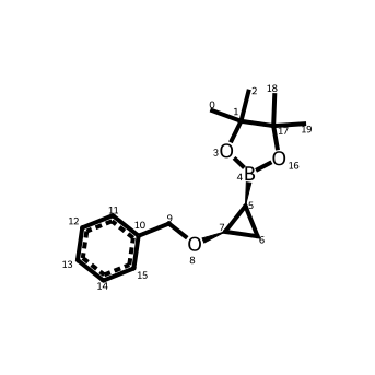 CC1(C)OB([C@H]2C[C@H]2OCc2ccccc2)OC1(C)C